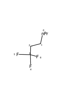 [CH2]CCC[CH]C(F)(F)F